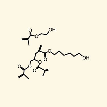 C=C(C)C(=O)OCC(CC(=C)C(=O)OCCCCCCO)OC(=O)C(=C)C.C=C(C)C(=O)OCCO